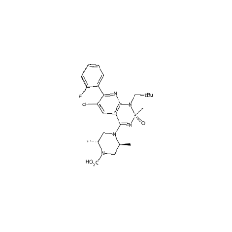 C[C@@H]1CN(C2=NP(C)(=O)N(CC(C)(C)C)c3nc(-c4ccccc4F)c(Cl)cc32)[C@@H](C)CN1C(=O)O